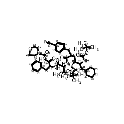 CC(C)C(NC(=O)C(Cc1ccc(C#N)cc1)CC(O[Si](C)(C)C(C)(C)C)C(CC1CCCCC1)NC(=O)OC(C)(C)C)C(=O)NC(Cc1ccccc1)C(=O)NC(=O)N1CCOCC1